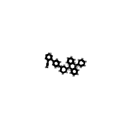 N#Cc1ccncc1-c1ccc(C2=CCCC(N3c4ccccc4N(C4C=CC=CC4)c4ccccc43)C2)cc1